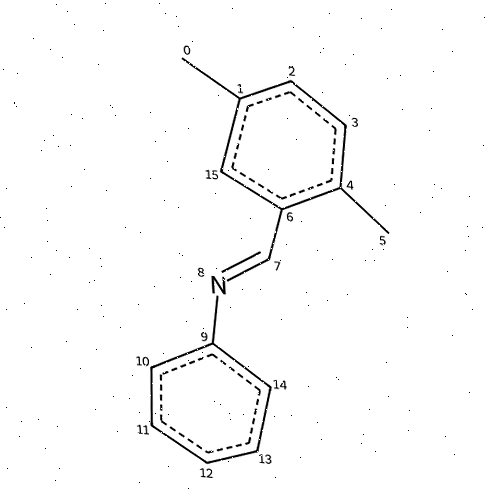 Cc1ccc(C)c(/C=N/c2ccccc2)c1